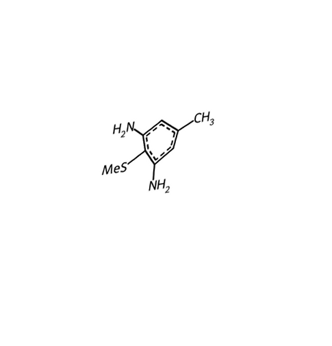 CSc1c(N)cc(C)cc1N